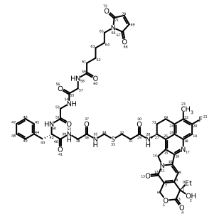 CC[C@@]1(O)C(=O)OCc2c1cc1n(c2=O)Cc2c-1nc1cc(F)c(C)c3c1c2[C@@H](NC(=O)CCSCNC(=O)CNC(=O)[C@H](Cc1ccccc1)NC(=O)CNC(=O)CNC(=O)CCCCCN1C(=O)C=CC1=O)CC3